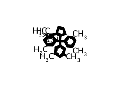 Cc1cc(C)cc(C(C2=C(C(C)C)C=CC2)(c2cc(C)cc(C)c2)c2cc(C)cc(C)c2)c1